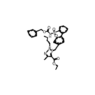 CCCCN1N=C(C)C(C(=O)OCC)=S1Cc1ccc(-c2ccccc2S(=O)(=O)NC(=O)OCc2ccccc2)cc1